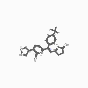 CC(C)(C)c1ccc(/C(=C\C2=NC(=O)CC2)c2ccc(C3C=NOC3)c(=O)[nH]2)cc1